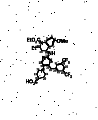 CCOC(=O)N1c2ccc(OC)cc2[C@@H](Nc2ncc(N3CCC(C(=O)O)CC3)c(Cc3cc(C(F)(F)F)cc(C(F)(F)F)c3)n2)C[C@H]1CC